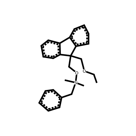 CCOCC1(CO[Si](C)(C)Cc2ccccc2)c2ccccc2-c2ccccc21